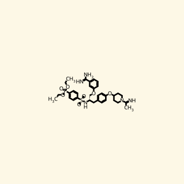 CCOP(=O)(OCC)c1ccc(S(=O)(=O)N[C@H](COc2cccc(C(=N)N)c2)Cc2ccc(OC3CCN(C(C)=N)CC3)cc2)cc1